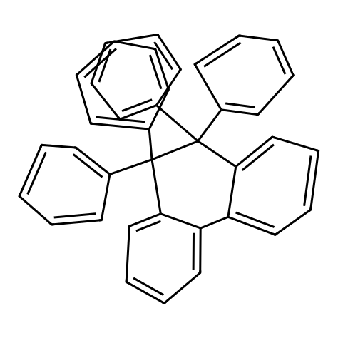 c1ccc(C2(c3ccccc3)c3ccccc3-c3ccccc3C2(c2ccccc2)c2ccccc2)cc1